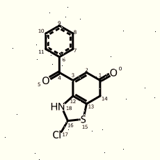 O=C1C=C(C(=O)c2ccccc2)C2=C(C1)SC(Cl)N2